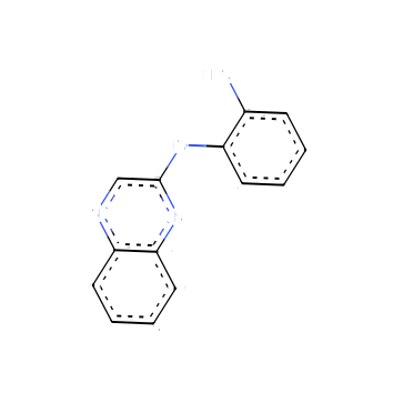 Nc1ccccc1Nc1cnc2ccccc2n1